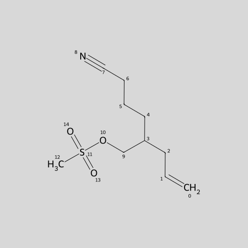 C=CCC(CCCC#N)COS(C)(=O)=O